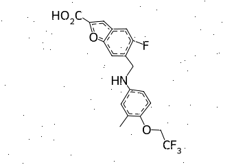 Cc1cc(NCc2cc3oc(C(=O)O)cc3cc2F)ccc1OCC(F)(F)F